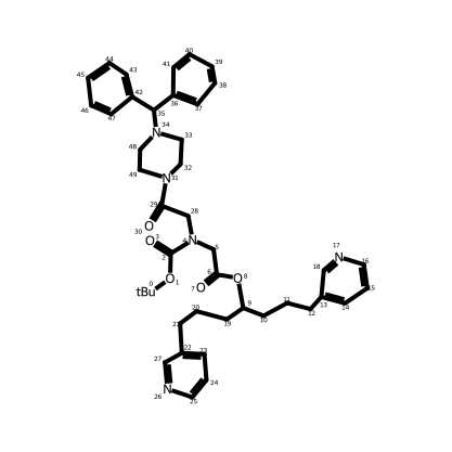 CC(C)(C)OC(=O)N(CC(=O)OC(CCCc1cccnc1)CCCc1cccnc1)CC(=O)N1CCN(C(c2ccccc2)c2ccccc2)CC1